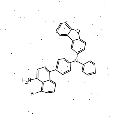 Nc1ccc(-c2ccc(N(c3ccccc3)c3ccc4oc5ccccc5c4c3)cc2)c2cccc(Br)c12